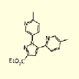 CCOC(=O)c1cc(-c2ccc(C)cn2)n(-c2ccc(C)nc2)n1